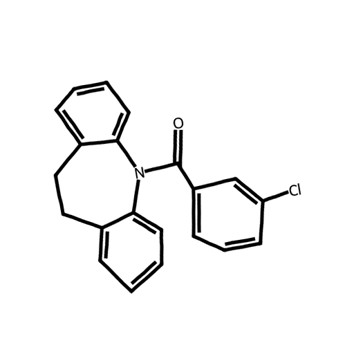 O=C(c1cccc(Cl)c1)N1c2ccccc2CCc2ccccc21